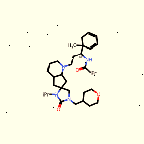 CC(C)C(=O)N[C@@H](CCN1CCCC2CC3(CC21)CN(CC1CCOCC1)C(=O)N3C(C)C)C1(C)C=CC=CC1